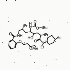 CCN(C(=O)C(CC(O)C(CC(CNC(=O)c1ccccc1OCCCCOC)C(C)C)NC(=O)OC(C)(C)C)C(C)C)N1CCC(C(C)=O)CC1